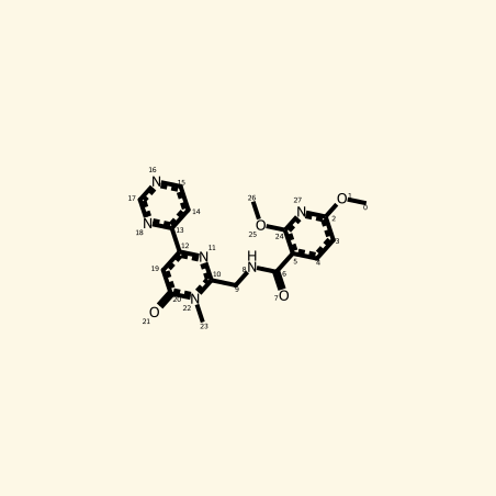 COc1ccc(C(=O)NCc2nc(-c3ccncn3)cc(=O)n2C)c(OC)n1